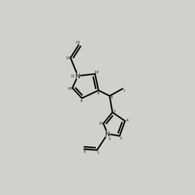 C=Cn1ccc(C(C)c2ccn(C=C)c2)c1